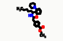 CCCCCC(NC(=O)Cc1ccc(C(=O)OCC)cc1)c1ccccc1N1CCCCC1